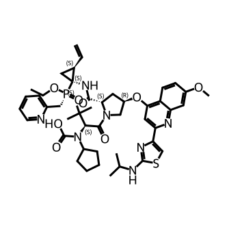 C=C[C@@H]1C[C@]1(NC(=O)[C@@H]1C[C@@H](Oc2cc(-c3csc(NC(C)C)n3)nc3cc(OC)ccc23)CN1C(=O)[C@@H](N(C(=O)O)C1CCCC1)C(C)(C)C)[P@](=O)(Cc1ccccn1)OCC